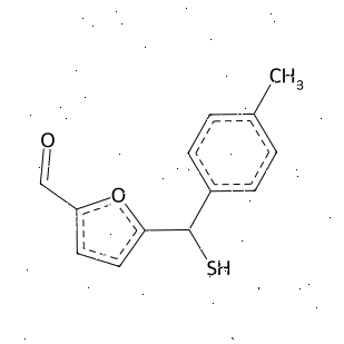 Cc1ccc(C(S)c2ccc(C=O)o2)cc1